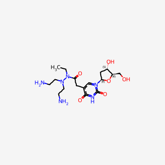 CCN(C(=O)Cc1cn([C@H]2C[C@H](O)[C@@H](CO)O2)c(=O)[nH]c1=O)N(CCN)CCN